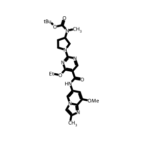 CCOc1nc(N2CCC(N(C)C(=O)OC(C)(C)C)C2)ncc1C(=O)Nc1cc(OC)c2nc(C)cn2c1